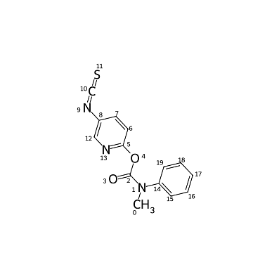 CN(C(=O)Oc1ccc(N=C=S)cn1)c1ccccc1